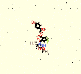 COC(=O)NN(C(=O)C1CC(F)(F)C[C@@H]1C(=O)OCC(=O)c1ccc(Br)cc1)C(C)C